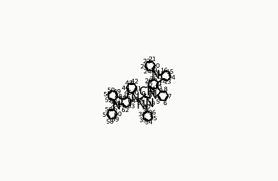 N#Cc1c(-n2c3ccccc3c3c4c5ccccc5n(-c5ccccc5)c4ccc32)nc(-c2ccccc2)nc1-n1c2ccccc2c2c3c4ccccc4n(-c4ccccc4)c3ccc21